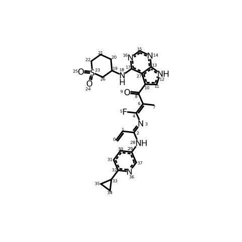 C=C/C(=N\C(F)=C(/C)C(=O)c1c[nH]c2ncnc(NC3CCCS(=O)(=O)C3)c12)Nc1ccc(C2CC2)nc1